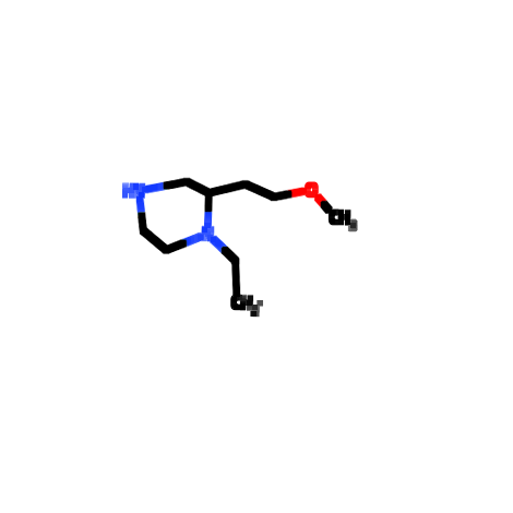 [CH2]CN1CCNCC1CCOC